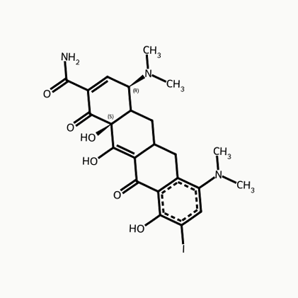 CN(C)c1cc(I)c(O)c2c1CC1CC3[C@H](N(C)C)C=C(C(N)=O)C(=O)[C@@]3(O)C(O)=C1C2=O